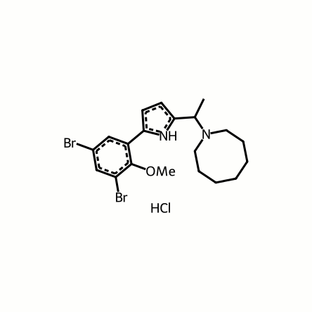 COc1c(Br)cc(Br)cc1-c1ccc(C(C)N2CCCCCCC2)[nH]1.Cl